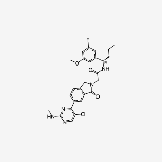 CCC[C@@H](NC(=O)CN1Cc2ccc(-c3nc(NC)ncc3Cl)cc2C1=O)c1cc(F)cc(OC)c1